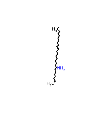 CCCCCCCCC=CCCCCCCCC(N)CCCCCCC